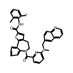 Cc1cccc(F)c1NC(=O)c1cc2c(s1)-c1ccccc1N(C(=O)c1cccc(N(C)Cc3ccc4ncccc4c3)n1)CC2